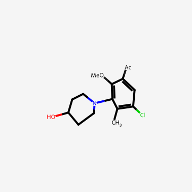 COc1c(C(C)=O)cc(Cl)c(C)c1N1CCC(O)CC1